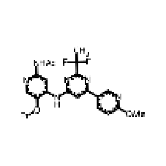 CCOc1cnc(NC(C)=O)cc1Nc1cc(-c2ccc(OC)nc2)nc(C(C)(F)F)n1